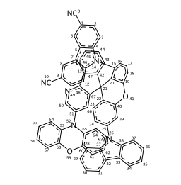 N#Cc1ccc2c(c1)c1cc(C#N)ccc1n2-c1cccc2c1C1(c3ccc(-n4c5ccccc5c5ccccc54)cc3O2)c2cccnc2-c2ncc(N3c4ccccc4Oc4ccccc43)cc21